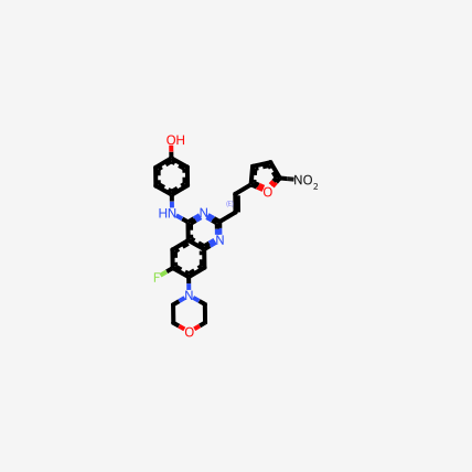 O=[N+]([O-])c1ccc(/C=C/c2nc(Nc3ccc(O)cc3)c3cc(F)c(N4CCOCC4)cc3n2)o1